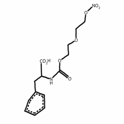 O=C(NC(Cc1ccccc1)C(=O)O)OCCOCCO[N+](=O)[O-]